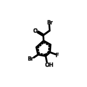 O=C(CBr)c1cc(F)c(O)c(Br)c1